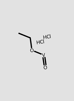 CC[O][V]=[O].Cl.Cl